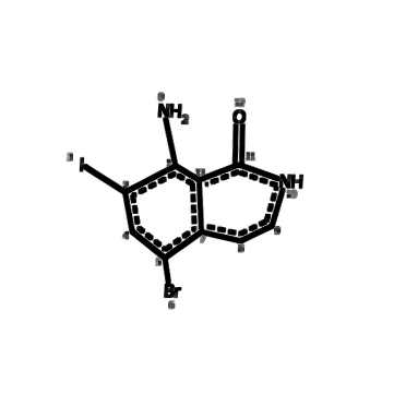 Nc1c(I)cc(Br)c2cc[nH]c(=O)c12